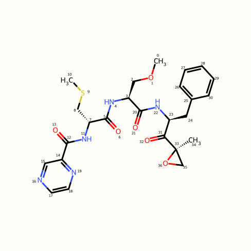 COC[C@H](NC(=O)[C@@H](CSC)NC(=O)c1cnccn1)C(=O)N[C@@H](Cc1ccccc1)C(=O)[C@@]1(C)CO1